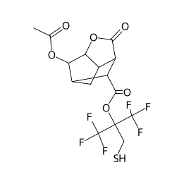 CC(=O)OC1C2CC3C1OC(=O)C3C2C(=O)OC(CS)(C(F)(F)F)C(F)(F)F